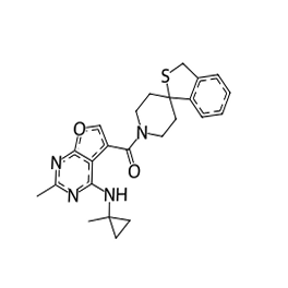 Cc1nc(NC2(C)CC2)c2c(C(=O)N3CCC4(CC3)SCc3ccccc34)coc2n1